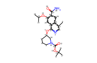 Cc1cnc(O[C@@H]2CCCN(C(=O)OC(C)(C)C)C2)c2cc(OC(C)C)c(C(N)=O)cc12